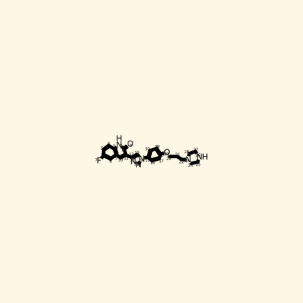 O=c1[nH]c2ccc(F)cc2cc1-c1cn(-c2ccc(OCCCN3CCNCC3)cc2)nn1